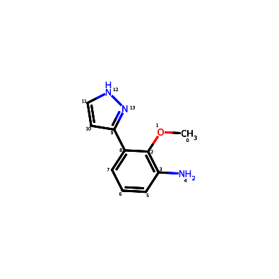 COc1c(N)cccc1-c1cc[nH]n1